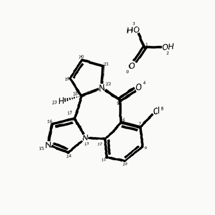 O=C(O)O.O=C1c2c(Cl)cccc2-n2cncc2[C@H]2C=CCN12